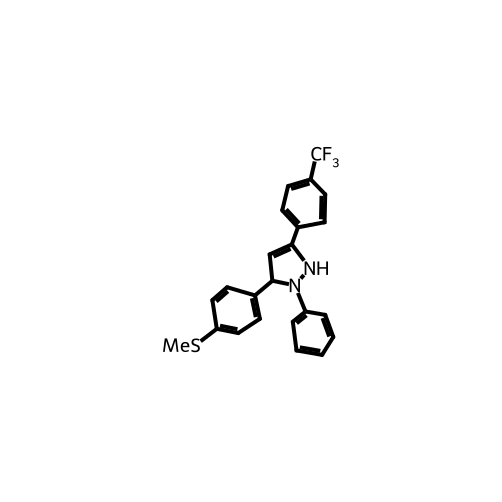 CSc1ccc(C2C=C(c3ccc(C(F)(F)F)cc3)NN2c2ccccc2)cc1